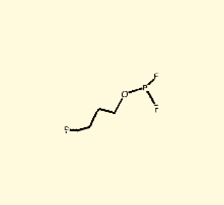 FCCCOP(F)F